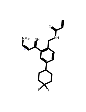 C=CC(=O)NCc1ccc(C2CCC(F)(F)CC2)cc1C(=N)/C=C\NC